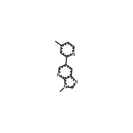 Cc1ccnc(-c2cnc3c(c2)ncn3C)c1